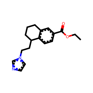 CCOC(=O)c1ccc2c(c1)CCCC2CCn1ccnc1